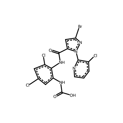 O=C(O)Nc1cc(Cl)cc(Cl)c1NC(=O)c1cc(Br)nn1-c1ncccc1Cl